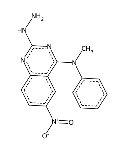 CN(c1ccccc1)c1nc(NN)nc2ccc([N+](=O)[O-])cc12